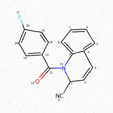 N#CC1C=Cc2ccccc2N1C(=O)c1ccc(F)cc1